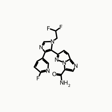 NC(=O)c1cnc2ccc(-c3c(-c4ccc(F)nc4)ncn3CC(F)F)nn12